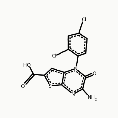 Nc1nc2sc(C(=O)O)cc2n(-c2ccc(Cl)cc2Cl)c1=O